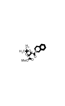 COC(=O)[C@@H]1OC(C)(C)O[C@H]1C(=O)N1CCc2ccccc2C1